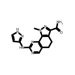 Cn1nc(C(N)=O)c2c1-c1nc(Nc3cc[nH]n3)ncc1CC2